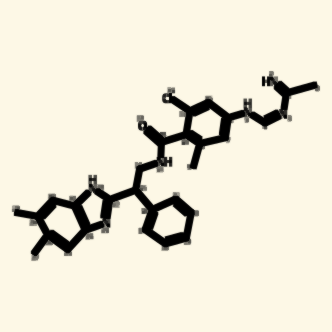 CC(=N)/N=C\Nc1cc(C)c(C(=O)NCC(c2ccccc2)c2nc3cc(C)c(C)cc3[nH]2)c(Cl)c1